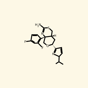 CC(C)C1C=CC([C@H]2C[C@H]3CSC(N)=N[C@@]3(c3ccc(F)cc3F)CO2)=N1